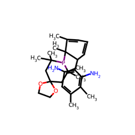 CC1=CC=CC(c2c(N)cc(C)c(C)c2N)C1(C)P1C(C)(C)CC2(CC1(C)C)OCCO2